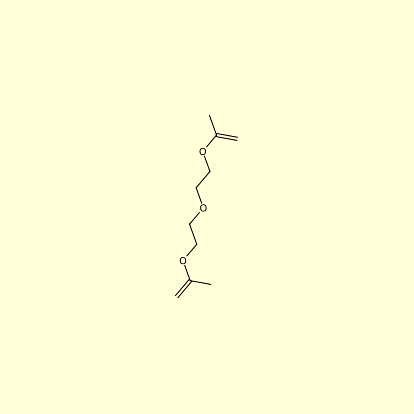 C=C(C)OCCOCCOC(=C)C